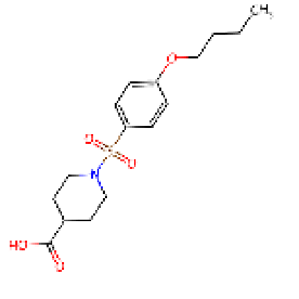 CCCCOc1ccc(S(=O)(=O)N2CCC(C(=O)O)CC2)cc1